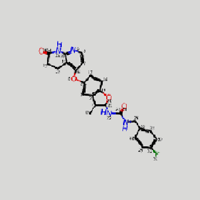 C[C@H]1c2cc(Oc3ccnc4c3CCC(=O)N4)ccc2O[C@H]1NC(=O)NCc1ccc(F)cc1